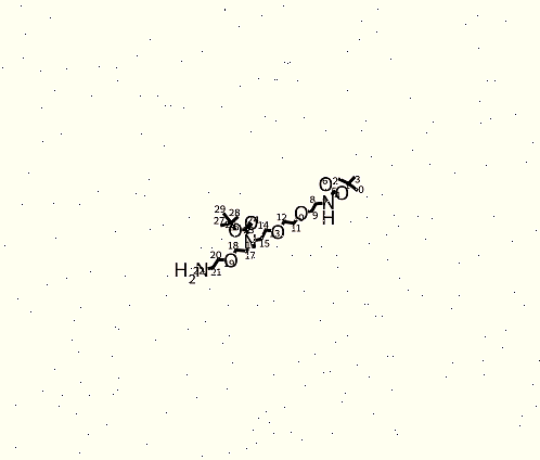 CC(C)(C)OC(=O)NCCOCCOCCN(CCOCCN)C(=O)OC(C)(C)C